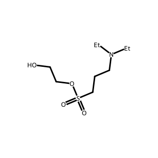 CCN(CC)CCCS(=O)(=O)OCCO